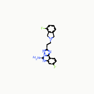 Nc1nc2cc(F)ccc2c2nc(CCN3Cc4cccc(F)c4C3)nn12